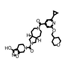 O=C(c1cc(OCC2CCOCC2)nc(C2CC2)c1)N1CC[C@@H]2CN(C(=O)N3CCc4c(O)noc4C3)C[C@@H]2CC1